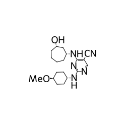 CO[C@H]1CC[C@H](Nc2ncc(C#N)c(N[C@@H]3CCCC[C@H](O)C3)n2)CC1